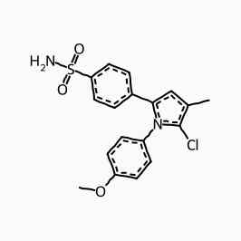 COc1ccc(-n2c(-c3ccc(S(N)(=O)=O)cc3)cc(C)c2Cl)cc1